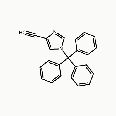 C#Cc1cn(C(c2ccccc2)(c2ccccc2)c2ccccc2)cn1